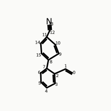 C=Cc1ccccc1-c1ccc(C#N)cc1